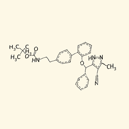 Cc1n[nH]c(C(Oc2ccccc2-c2ccc(CCNC(=O)OC(C)(C)C)cc2)c2ccccc2)c1C#N